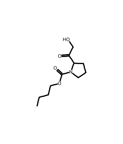 CCCCOC(=O)N1CCCC1C(=O)CO